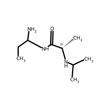 CCC(N)NC(=O)[C@H](C)NC(C)C